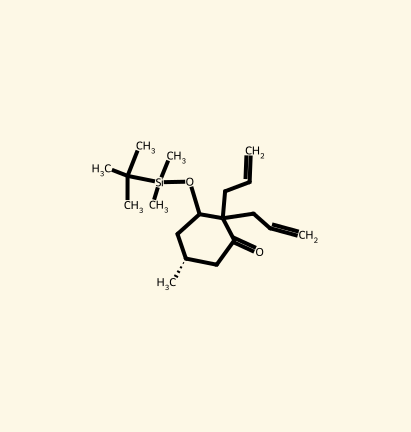 C=CCC1(CC=C)C(=O)C[C@H](C)CC1O[Si](C)(C)C(C)(C)C